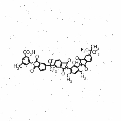 Cc1cc(C(=O)O)cc(N2C(=O)c3ccc(C(c4ccc5c(c4)C(=O)N(c4c(C)cc(C)c(N6C(=O)c7ccc(C(C)(C(F)(F)F)C(F)(F)F)cc7C6=O)c4C)C5=O)(C(F)(F)F)C(F)(F)F)cc3C2=O)c1